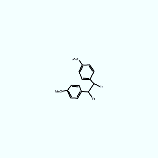 CCC(c1ccc(OC)cc1)C(CC)c1ccc(OC)cc1